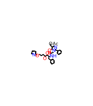 CC(=O)OCc1cnc(-c2ccccc2)n(CC(=O)NC(Cc2ccccc2)C(=O)C(=O)CCCOc2ccccn2)c1=O